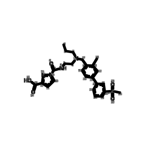 CCCN(CCNC(=O)n1ccc(C(=O)O)n1)Cc1ccc(-c2cccc(S(C)(=O)=O)c2)cc1C